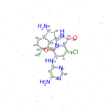 Nc1cc(Nc2cc(Cl)c3n(c2=O)C2(CC(N)c4ccc(F)cc42)NC3=O)ncn1